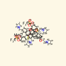 COc1c(CN2CCCC2)ccc(C(=O)c2ccc(CN3CCCC3)c(OC)c2-c2c(-c3ccc(OCCN4CCCC4)cc3)sc3ccc(OS(=O)(=O)C(F)(F)F)cc23)c1-c1c(-c2ccc(OCCN3CCCC3)cc2)sc2ccc(OS(=O)(=O)C(F)(F)F)cc12